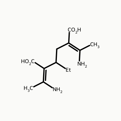 CCC(CC(C(=O)O)=C(C)N)C(C(=O)O)=C(C)N